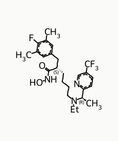 CCN(CCCC[C@@H](Cc1cc(C)c(F)c(C)c1)C(=O)NO)[C@H](C)c1ccc(C(F)(F)F)cn1